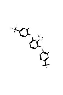 O=S(=O)(Cl)c1c(Oc2ccc(C(F)(F)F)cc2Cl)cccc1Oc1ccc(C(F)(F)F)cc1Cl